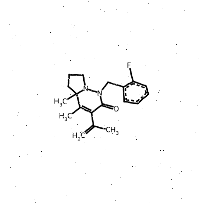 C=C(C)C1=C(C)C2(C)CCCN2N(Cc2ccccc2F)C1=O